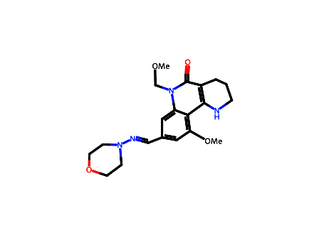 COCn1c(=O)c2c(c3c(OC)cc(C=NN4CCOCC4)cc31)NCCC2